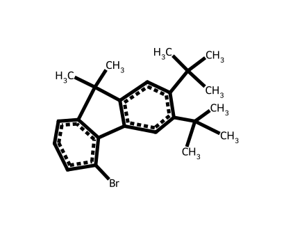 CC(C)(C)c1cc2c(cc1C(C)(C)C)C(C)(C)c1cccc(Br)c1-2